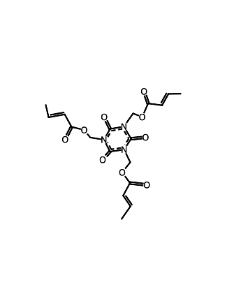 CC=CC(=O)OCn1c(=O)n(COC(=O)C=CC)c(=O)n(COC(=O)C=CC)c1=O